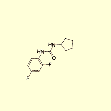 O=C(Nc1ccc(F)cc1F)NC1CCCC1